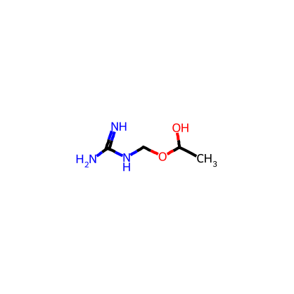 CC(O)OCNC(=N)N